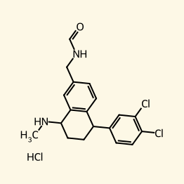 CNC1CCC(c2ccc(Cl)c(Cl)c2)c2ccc(CNC=O)cc21.Cl